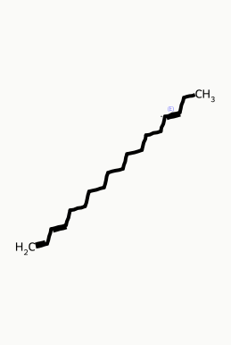 C=CC=CCCCCCCCCCC/[C]=C/CC